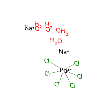 O.O.O.O.[Cl][Pd-2]([Cl])([Cl])([Cl])([Cl])[Cl].[Na+].[Na+]